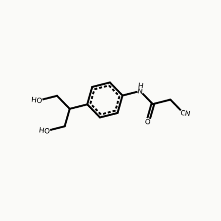 N#CCC(=O)Nc1ccc(C(CO)CO)cc1